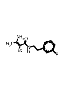 CC/C(C(=O)NCCc1cccc(F)c1)=C(\C)N